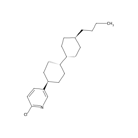 CCCC[C@H]1CC[C@H]([C@H]2CC[C@H](c3ccc(Cl)nc3)CC2)CC1